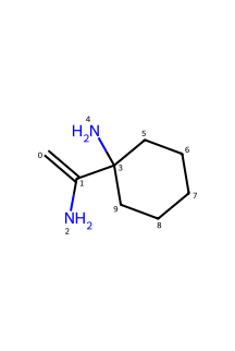 C=C(N)C1(N)CCCCC1